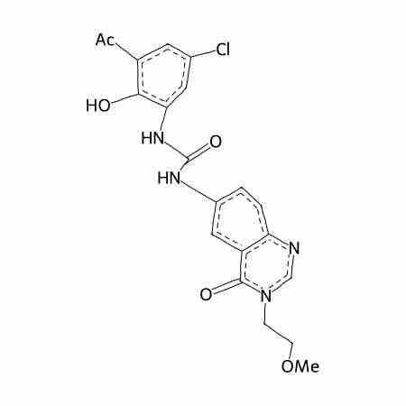 COCCn1cnc2ccc(NC(=O)Nc3cc(Cl)cc(C(C)=O)c3O)cc2c1=O